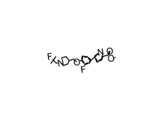 COC(=O)c1ccc(-c2ccc(OCC3CCN(CC(C)(C)F)CC3)c(F)c2)cn1